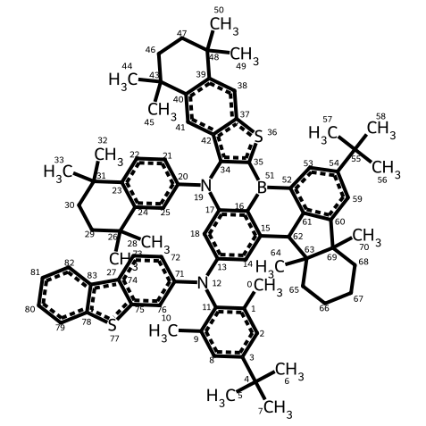 Cc1cc(C(C)(C)C)cc(C)c1N(c1cc2c3c(c1)N(c1ccc4c(c1)C(C)(C)CCC4(C)C)c1c(sc4cc5c(cc14)C(C)(C)CCC5(C)C)B3c1cc(C(C)(C)C)cc3c1C2C1(C)CCCCC31C)c1ccc2c(c1)sc1ccccc12